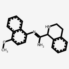 COc1ccc(N=C(N)C2NCCc3ccccc32)c2ccccc12